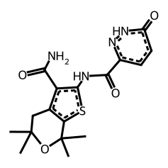 CC1(C)Cc2c(sc(NC(=O)c3ccc(=O)[nH]n3)c2C(N)=O)C(C)(C)O1